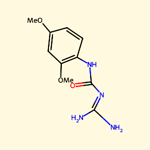 COc1ccc(NC(=O)N=C(N)N)c(OC)c1